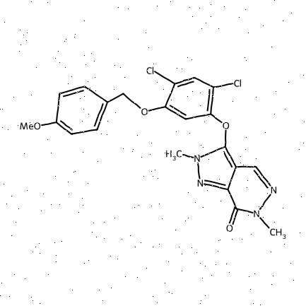 COc1ccc(COc2cc(Oc3c4cnn(C)c(=O)c4nn3C)c(Cl)cc2Cl)cc1